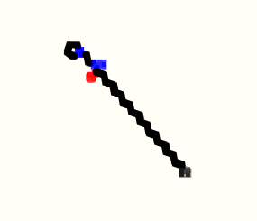 CCC=CCC=CCC=CCC=CCC=CCC=CCCC(=O)NCCN1CCCC1